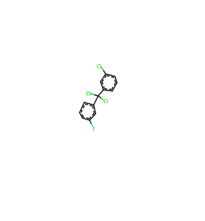 Fc1cccc(C(Cl)(Cl)c2cccc(Cl)c2)c1